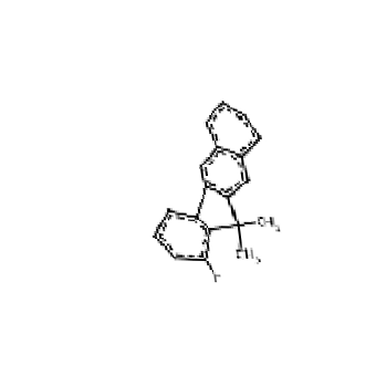 CC1(C)c2cc3ccccc3cc2-c2cccc(F)c21